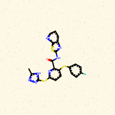 Cc1nnc(Sc2ccc(Sc3ccc(F)cc3)c(C(=O)Nc3nc4cccnc4s3)n2)[nH]1